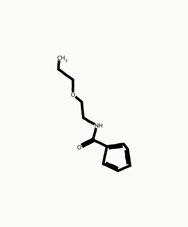 CCCOCCNC(=O)c1ccccc1